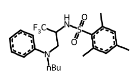 CCCCN(CC(NS(=O)(=O)c1c(C)cc(C)cc1C)C(F)(F)F)c1ccccc1